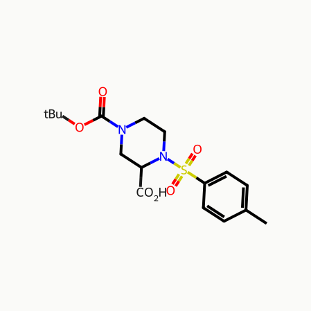 Cc1ccc(S(=O)(=O)N2CCN(C(=O)OC(C)(C)C)CC2C(=O)O)cc1